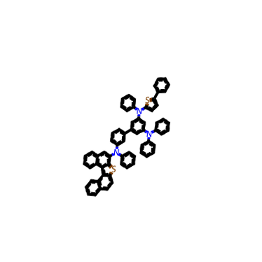 c1ccc(-c2ccc(N(c3ccccc3)c3cc(-c4cccc(N(c5ccccc5)c5cc6ccccc6c6c5sc5ccc7ccccc7c56)c4)cc(N(c4ccccc4)c4ccccc4)c3)s2)cc1